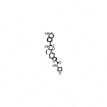 CC[C@@H](NC(=O)c1ccc2[nH]ncc2c1)C(=O)N1CCc2sc(C(=O)NC3CCN(C)C3)cc2C1